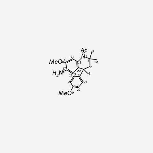 COc1ccc(C2(C)CC(C)(C)N(C(C)=O)c3cc(OC)c(N)cc32)cc1